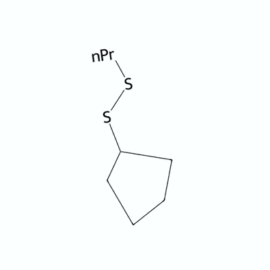 CCCSSC1CCCC1